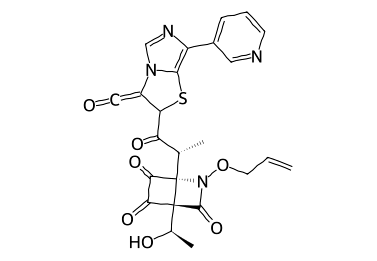 C=CCON1C(=O)[C@@]2([C@@H](C)O)C(=O)C(=O)[C@]12[C@@H](C)C(=O)C1Sc2c(-c3cccnc3)ncn2C1=C=O